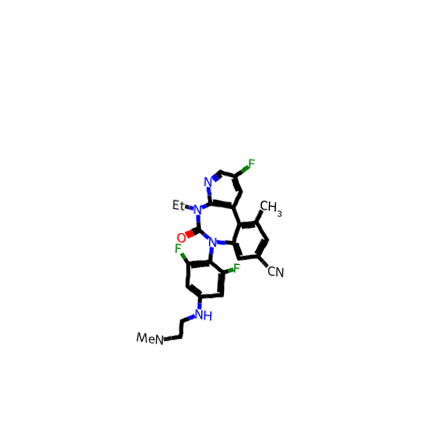 CCN1C(=O)N(c2c(F)cc(NCCNC)cc2F)c2cc(C#N)cc(C)c2-c2cc(F)cnc21